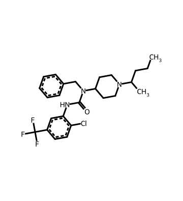 CCCC(C)N1CCC(N(Cc2ccccc2)C(=O)Nc2cc(C(F)(F)F)ccc2Cl)CC1